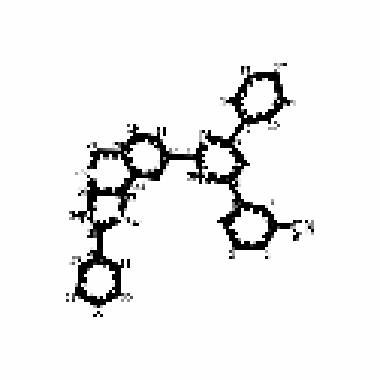 N#Cc1cccc(-c2cc(-c3ccccc3)nc(-c3ccc4ccc5nc(-c6ccccc6)sc5c4c3)n2)c1